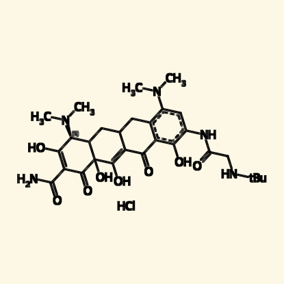 CN(C)c1cc(NC(=O)CNC(C)(C)C)c(O)c2c1CC1CC3[C@H](N(C)C)C(O)=C(C(N)=O)C(=O)C3(O)C(O)=C1C2=O.Cl